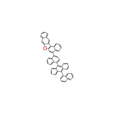 c1ccc2cc3c(cc2c1)oc1cc(-c2ccc(-c4c5ccccc5c(-c5cccc6ccccc56)c5ccccc45)c4ccccc24)c2ccccc2c13